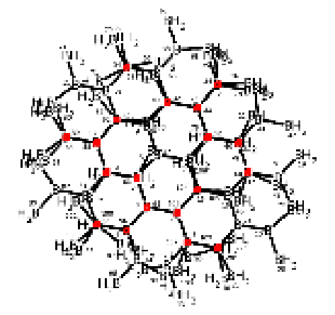 BB(B)B(B(B)B)B(B(B(B)B)B(B)B)B(B(B(B(B)B)B(B)B)B(B(B)B)B(B)B)B(B(B(B(B)B)B(B)B)B(B(B)B)B(B)B)B(B(B(B(B(B)B)B(B)B)B(B(B)B)B(B)B)B(B(B(B)B)B(B)B)B(B(B)B)B(B)B)B(B(B(B(B)B)B(B)B)B(B(B)B)B(B)B)B(B(B(B)B)B(B)B)B(B(B)B)B(B)B